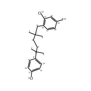 CC(C)(CCC(C)(C)c1ccc(Cl)cc1)Cc1ccc(F)cc1Cl